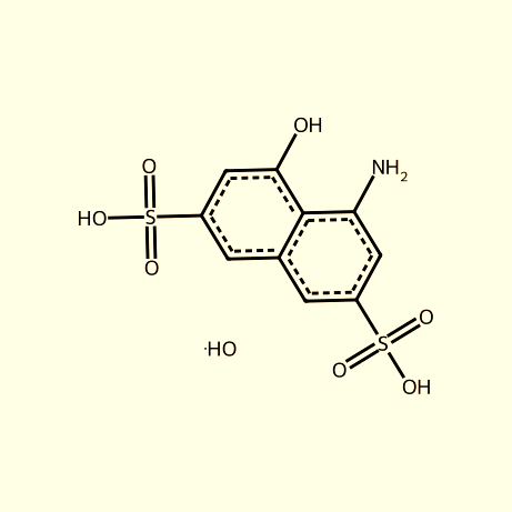 Nc1cc(S(=O)(=O)O)cc2cc(S(=O)(=O)O)cc(O)c12.[OH]